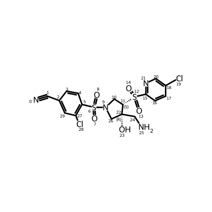 N#Cc1ccc(S(=O)(=O)N2C[C@H](S(=O)(=O)c3ccc(Cl)cn3)[C@@](O)(CN)C2)c(Cl)c1